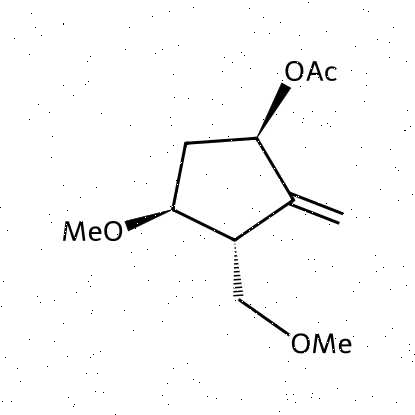 C=C1[C@H](OC(C)=O)C[C@H](OC)[C@H]1COC